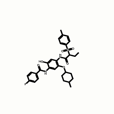 CCC(C(=O)Nc1cc(O)c(NC(=O)c2ccc(F)cc2)cc1OC1CCC(C)CC1)S(=O)(=O)c1ccc(C)cc1